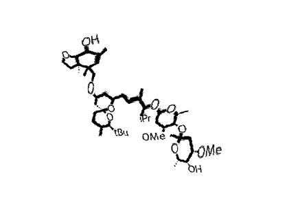 CO[C@H]1CC(C)(O[C@@H]2[C@H](C)OC(OC(/C(C)=C/CC3CC(OCC4(C)C=C(C)C(O)C5OCC[C@@]54C)C[C@]4(CCC(C)[C@H](C(C)(C)C)O4)O3)C(C)C)C[C@@H]2OC)O[C@@H](C)[C@H]1O